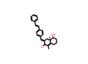 CC1=C2CCC[C@H](O)[C@@]2(C)C/C(=C\c2ccc(/C=C/c3ccccc3)cc2)C1=O